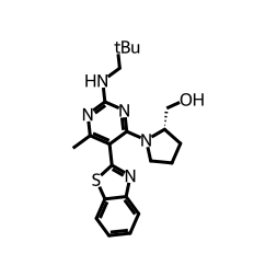 Cc1nc(NCC(C)(C)C)nc(N2CCC[C@H]2CO)c1-c1nc2ccccc2s1